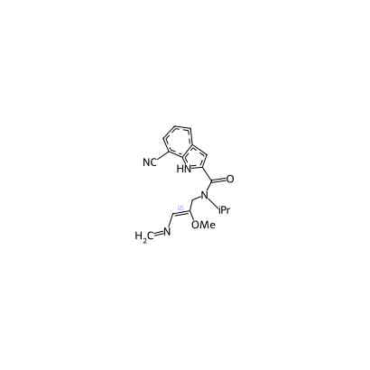 C=N/C=C(/CN(C(=O)c1cc2cccc(C#N)c2[nH]1)C(C)C)OC